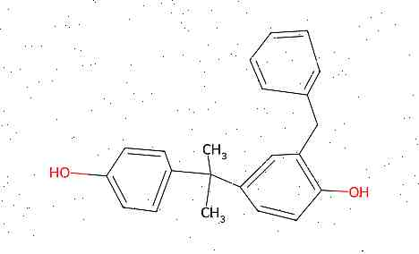 CC(C)(c1ccc(O)cc1)c1ccc(O)c(Cc2ccccc2)c1